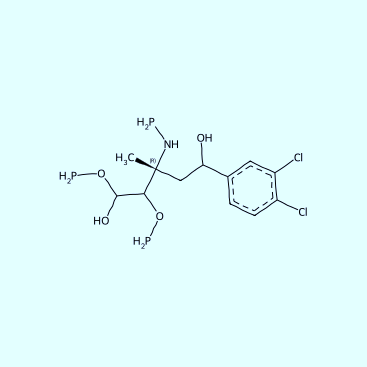 C[C@](CC(O)c1ccc(Cl)c(Cl)c1)(NP)C(OP)C(O)OP